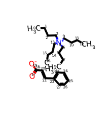 CCCC[N+](CCCC)(CCCC)CCCC.O=C([O-])C=Cc1ccccc1